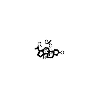 CC(=O)O[C@H]1C[C@]2(C)C(C(C)=O)=CC[C@H]2[C@@H]2CCC3=CC(=O)C=C[C@]3(C)C12F